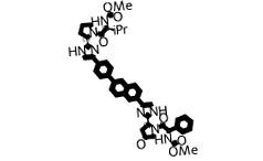 COC(=O)NC(C(=O)N1CC(=O)C[C@H]1c1nc(-c2ccc3cc(-c4ccc(-c5c[nH]c([C@@H]6CCCN6C(=O)[C@@H](NC(=O)OC)C(C)C)n5)cc4)ccc3c2)c[nH]1)c1ccccc1